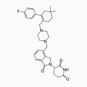 CC1(C)CCC(CN2CCN(Cc3cccc4c3CN(C3CCC(=O)NC3=O)C4=O)CC2)=C(c2ccc(F)cc2)C1